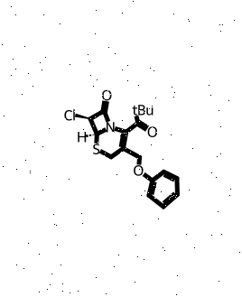 CC(C)(C)C(=O)C1=C(COc2ccccc2)CS[C@H]2[C@@H](Cl)C(=O)N12